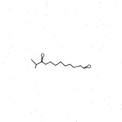 CC(C)C(=O)CCCCCCCCC=O